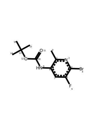 Cc1nc(Br)c(F)cc1NC(=O)OC(C)(C)C